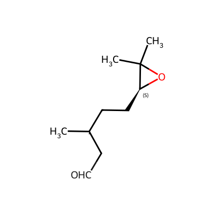 C[C](CC=O)CC[C@@H]1OC1(C)C